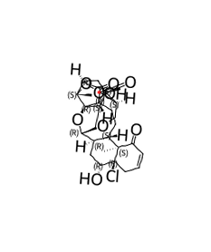 C[C@@]12C[C@H]3OC(=O)[C@@H]1CO[C@]14C[C@@H]2[C@]2(O1)[C@@]3(C)OC(=O)[C@@]2(O)CC[C@H]1[C@H]4C[C@@H](O)[C@@]2(Cl)CC=CC(=O)[C@]12C